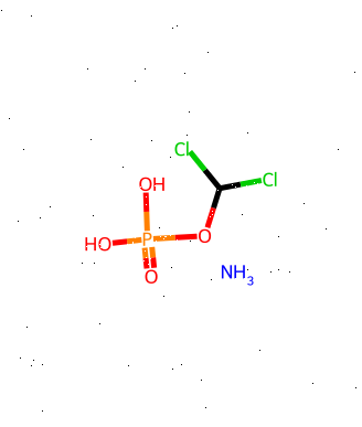 N.O=P(O)(O)OC(Cl)Cl